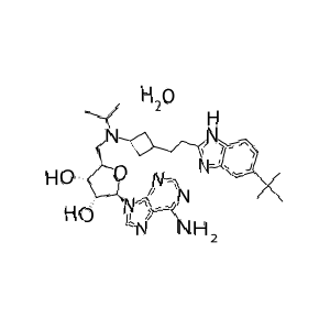 CC(C)N(C[C@H]1O[C@@H](n2cnc3c(N)ncnc32)[C@H](O)[C@@H]1O)C1CC(CCc2nc3cc(C(C)(C)C)ccc3[nH]2)C1.O